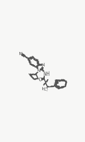 CC(C)(C(=O)Nc1nc2ccc(C#N)cc2n1C1CCC1)C(O)c1ccccc1